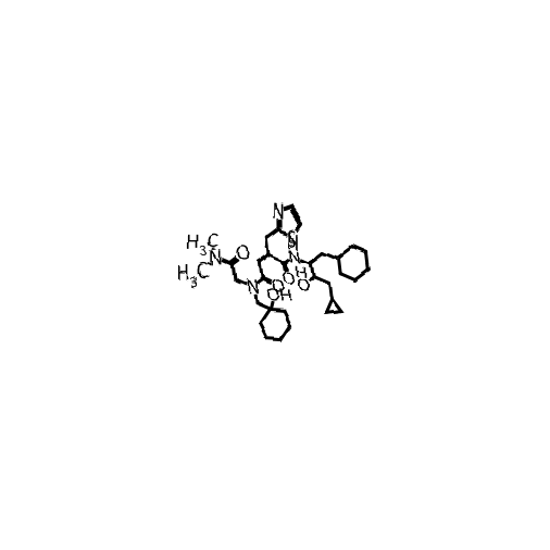 CN(C)C(=O)CN(CC1(O)CCCCC1)C(=O)CC(Cc1nccs1)C(=O)NC(CC1CCCCC1)C(O)CC1CC1